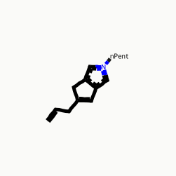 C=CCC1=Cc2cn(CCCCC)cc2C1